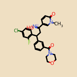 Cn1cc(/C(CC(c2cccc(C(=O)N3CCOCC3)c2)c2ccc(Cl)cc2F)=N/O)ccc1=O